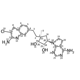 C[C@]1(CCc2ccc3cc(Cl)c(N)nc3c2)C[C@@H](n2ccc3c(N)ncnc32)[C@H](O)[C@@H]1O